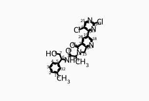 Cc1cccc(C(CO)NC(=O)C(C)N2Cc3ncc(-c4nc(Cl)ncc4Cl)cc3C2=O)c1